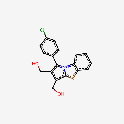 OCc1c(CO)c2sc3ccccc3n2c1-c1ccc(Cl)cc1